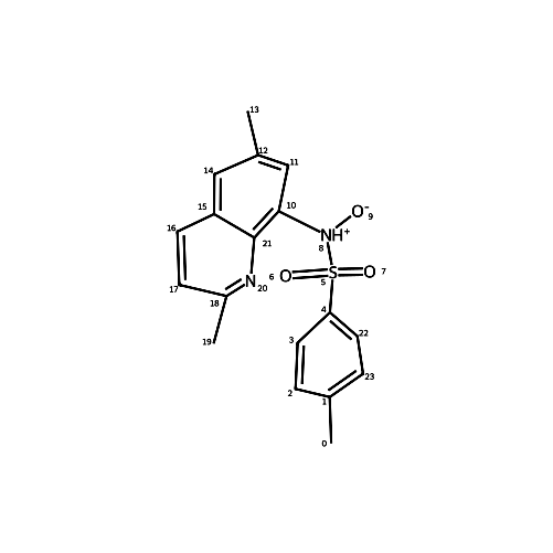 Cc1ccc(S(=O)(=O)[NH+]([O-])c2cc(C)cc3ccc(C)nc23)cc1